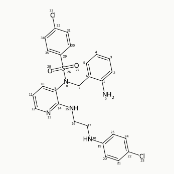 Nc1ccccc1CN(c1cccnc1NCCNc1ccc(Cl)cc1)S(=O)(=O)c1ccc(Cl)cc1